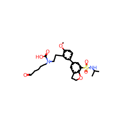 COc1ccc(-c2cc3c(c(S(=O)(=O)NC(C)C)c2)OCC3)cc1CCN(CCCCC=O)C(=O)O